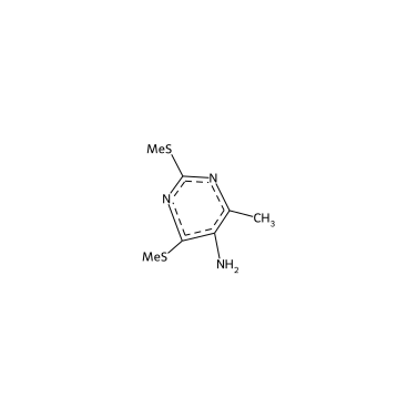 CSc1nc(C)c(N)c(SC)n1